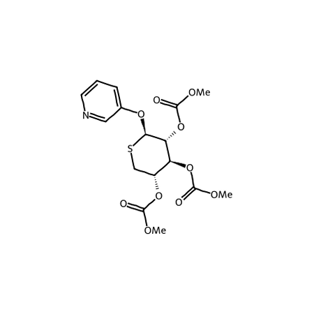 COC(=O)O[C@@H]1[C@@H](OC(=O)OC)[C@H](OC(=O)OC)CS[C@H]1Oc1cccnc1